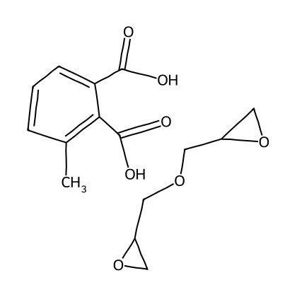 C(OCC1CO1)C1CO1.Cc1cccc(C(=O)O)c1C(=O)O